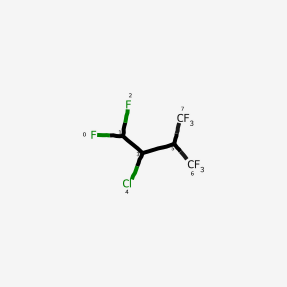 FC(F)C(Cl)C(C(F)(F)F)C(F)(F)F